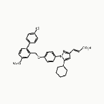 COc1ccc(-c2ccc(Cl)cc2)c(COc2ccc(-n3nc(C=CC(=O)O)cc3C3CCCCC3)cc2)c1